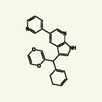 C1=CCCC(C(C2=COC=CO2)c2c[nH]c3ncc(-c4cccnc4)cc23)=C1